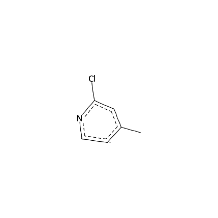 Cc1[c]cnc(Cl)c1